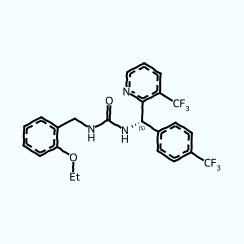 CCOc1ccccc1CNC(=O)N[C@@H](c1ccc(C(F)(F)F)cc1)c1ncccc1C(F)(F)F